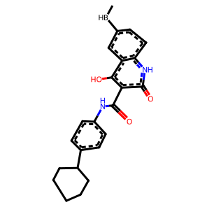 CBc1ccc2[nH]c(=O)c(C(=O)Nc3ccc(C4CCCCC4)cc3)c(O)c2c1